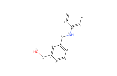 C=C/C(=C\C)NCc1cccc(CO)c1